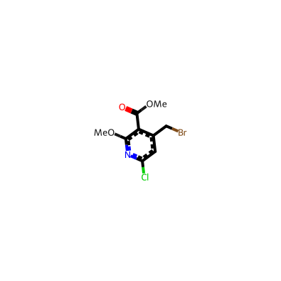 COC(=O)c1c(CBr)cc(Cl)nc1OC